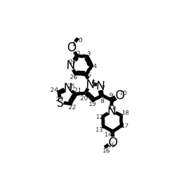 COc1ccc(-n2nc(C(=O)N3CCC(OC)CC3)cc2-c2cscn2)cn1